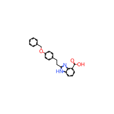 O=C(O)c1cccc2[nH]c(CCc3ccc(OCc4ccccc4)cc3)nc12